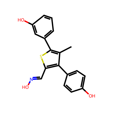 Cc1c(-c2cccc(O)c2)sc(C=NO)c1-c1ccc(O)cc1